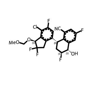 COCO[C@H]1c2c(Cl)c(F)cc([C@H]3C[C@H](F)[C@@H](O)c4cc(F)cc(C#N)c43)c2CC1(F)F